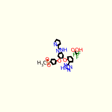 CS(=O)(=O)c1ccc(Oc2cc3nc(-c4ccccn4)[nH]c3cc2Oc2ccccc2-c2nn[nH]n2)cc1.O=C(O)C(F)(F)F